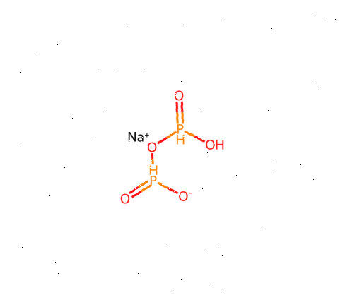 O=[PH]([O-])O[PH](=O)O.[Na+]